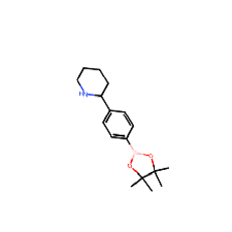 CC1(C)OB(c2ccc(C3CCCCN3)cc2)OC1(C)C